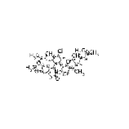 CCC(C)Oc1cc2c(cc1OC)CC(=O)N(c1ccc(C(C)N(CCCN(C)C)C(C)=O)cc1)C2c1ccc(Cl)cc1